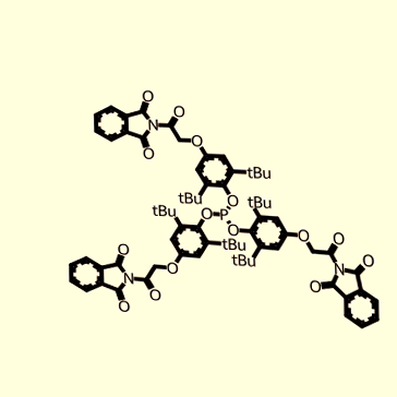 CC(C)(C)c1cc(OCC(=O)N2C(=O)c3ccccc3C2=O)cc(C(C)(C)C)c1OP(Oc1c(C(C)(C)C)cc(OCC(=O)N2C(=O)c3ccccc3C2=O)cc1C(C)(C)C)Oc1c(C(C)(C)C)cc(OCC(=O)N2C(=O)c3ccccc3C2=O)cc1C(C)(C)C